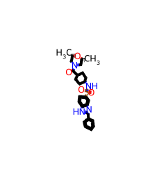 C[C@@H]1CN(C(=O)C2CCC(NS(=O)(=O)c3ccc4[nH]c(-c5ccccc5)nc4c3)CC2)C[C@H](C)O1